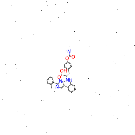 Cc1ccccc1-c1ncc(-c2ccccc2C)c(N[C@@H](Cc2ccc(OC(=O)N(C)C)cc2)C(=O)O)n1